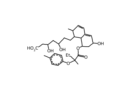 CCC(C)(Oc1ccc(C)cc1)C(=O)OC1CC(O)C=C2C=CC(C)C(CCC(O)CC(O)CC(=O)O)C21